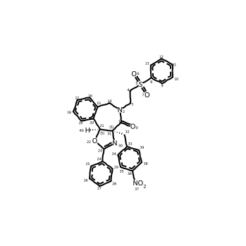 O=C1N(CCS(=O)(=O)c2ccccc2)Cc2ccccc2[C@@H]2OC(c3ccccc3)=N[C@]12Cc1ccc([N+](=O)[O-])cc1